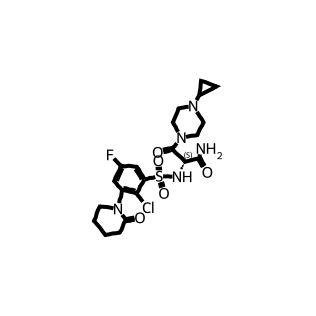 NC(=O)[C@H](NS(=O)(=O)c1cc(F)cc(N2CCCCC2=O)c1Cl)C(=O)N1CCN(C2CC2)CC1